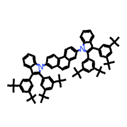 CC(C)(C)c1cc(-c2c(-c3cc(C(C)(C)C)cc(C(C)(C)C)c3)n(-c3ccc4c(ccc5cc(-n6c(-c7cc(C(C)(C)C)cc(C(C)(C)C)c7)c(-c7cc(C(C)(C)C)cc(C(C)(C)C)c7)c7ccccc76)ccc54)c3)c3ccccc23)cc(C(C)(C)C)c1